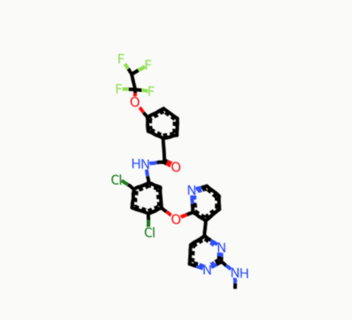 CNc1nccc(-c2cccnc2Oc2cc(NC(=O)c3cccc(OC(F)(F)C(F)F)c3)c(Cl)cc2Cl)n1